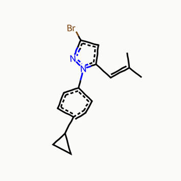 CC(C)=Cc1cc(Br)nn1-c1ccc(C2CC2)cc1